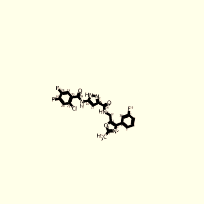 Cc1nc(-c2cccc(F)c2)c(CNC(=O)c2cc(NC(=O)c3cc(F)c(F)cc3Cl)[nH]n2)o1